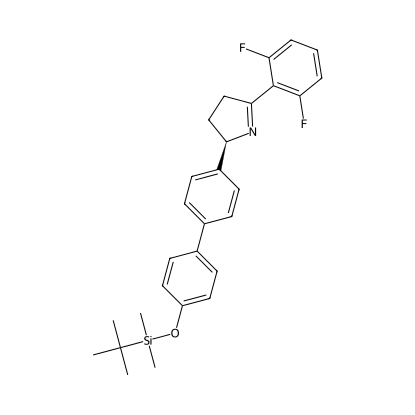 CC(C)(C)[Si](C)(C)Oc1ccc(-c2ccc([C@H]3CCC(c4c(F)cccc4F)=N3)cc2)cc1